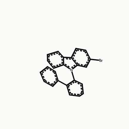 Brc1ccc2c3ccccc3n(-c3ccccc3-c3ccccc3)c2c1